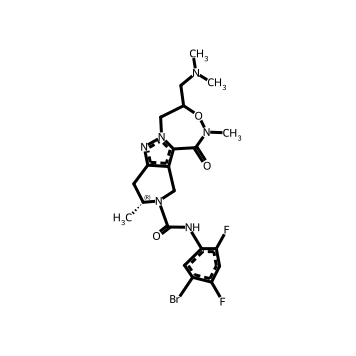 C[C@@H]1Cc2nn3c(c2CN1C(=O)Nc1cc(Br)c(F)cc1F)C(=O)N(C)OC(CN(C)C)C3